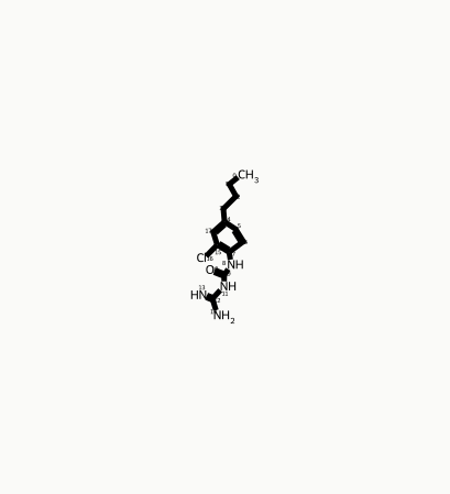 CCCCc1ccc(NC(=O)NC(=N)N)c(Cl)c1